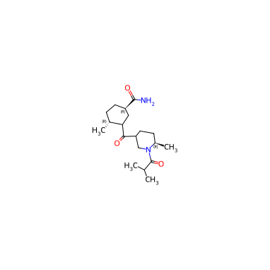 CC(C)C(=O)N1CC(C(=O)C2C[C@H](C(N)=O)CC[C@H]2C)CC[C@H]1C